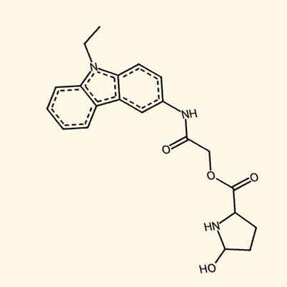 CCn1c2ccccc2c2cc(NC(=O)COC(=O)C3CCC(O)N3)ccc21